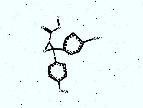 COc1ccc(C2(c3ccc(OC)cc3)OC2C(=O)OC(C)C)cc1